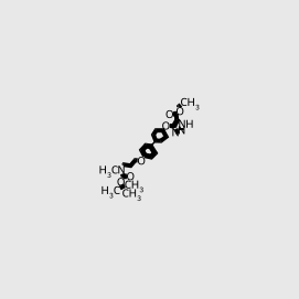 CCOC(=O)c1[nH]nnc1O[C@H]1CC[C@H](c2ccc(OCCCN(C)C(=O)OC(C)(C)C)cc2)CC1